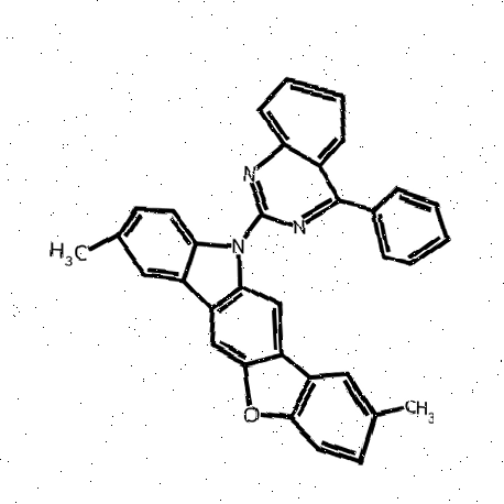 Cc1ccc2oc3cc4c5cc(C)ccc5n(-c5nc(-c6ccccc6)c6ccccc6n5)c4cc3c2c1